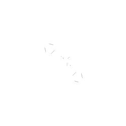 S=C(NCc1ccc2c(c1)OCO2)NCc1ccccc1Br